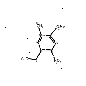 COc1cc([N+](=O)[O-])c(COC(C)=O)cc1C